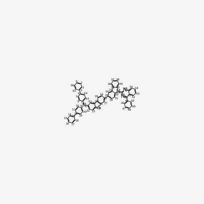 c1ccc(-c2ccc(N(c3ccc(-c4ccccc4)cc3)c3ccc4sc5cc(-c6ccc7c(c6)c6ccccc6n7-c6nc(-c7ccccc7)c7ccccc7n6)ccc5c4c3)cc2)cc1